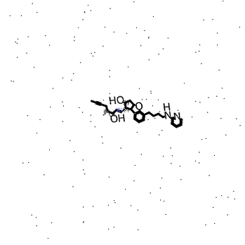 CC#CC[C@@H](C)[C@H](O)/C=C/[C@@H]1C2c3cccc(CCCCNc4ccccn4)c3OC2C[C@H]1O